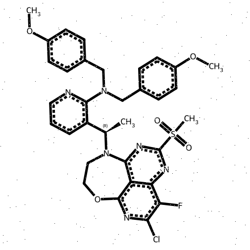 COc1ccc(CN(Cc2ccc(OC)cc2)c2ncccc2[C@@H](C)N2CCOc3nc(Cl)c(F)c4nc(S(C)(=O)=O)nc2c34)cc1